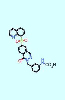 O=C(O)Nc1cccc(Cn2ncc3cc(S(=O)(=O)c4cccc5cccnc45)ccc3c2=O)c1